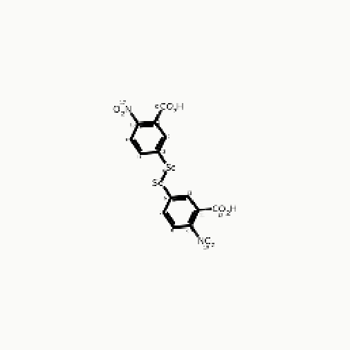 O=C(O)c1cc([Se][Se]c2ccc([N+](=O)[O-])c(C(=O)O)c2)ccc1[N+](=O)[O-]